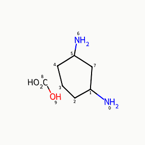 NC1CCCC(N)C1.O=C(O)O